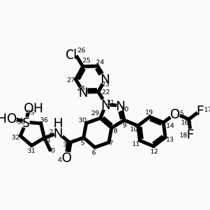 CC1(NC(=O)C2CCc3c(-c4cccc(OC(F)F)c4)nn(-c4ncc(Cl)cn4)c3C2)CCS(O)(O)C1